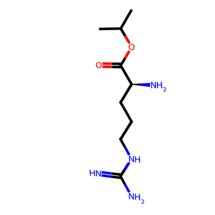 CC(C)OC(=O)[C@@H](N)CCCNC(=N)N